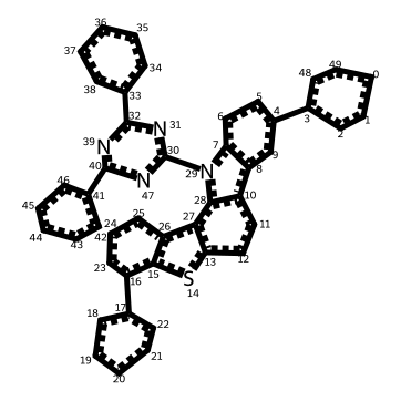 c1ccc(-c2ccc3c(c2)c2ccc4sc5c(-c6ccccc6)cccc5c4c2n3-c2nc(-c3ccccc3)nc(-c3ccccc3)n2)cc1